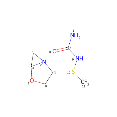 C1CN2CC2O1.NC(=O)NSC(F)(F)F